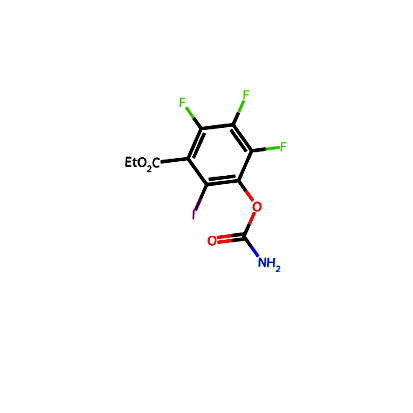 CCOC(=O)c1c(F)c(F)c(F)c(OC(N)=O)c1I